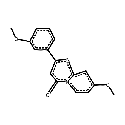 COc1cccc(-c2cc(=O)n3ccc(OC)cc3n2)c1